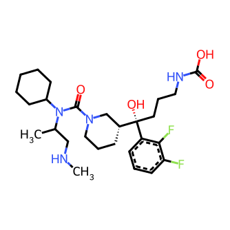 CNCC(C)N(C(=O)N1CCC[C@@H]([C@@](O)(CCCNC(=O)O)c2cccc(F)c2F)C1)C1CCCCC1